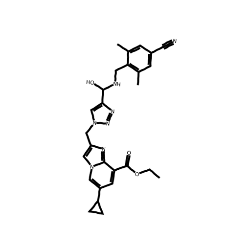 CCOC(=O)c1cc(C2CC2)cn2cc(Cn3cc(C(O)NCc4c(C)cc(C#N)cc4C)nn3)nc12